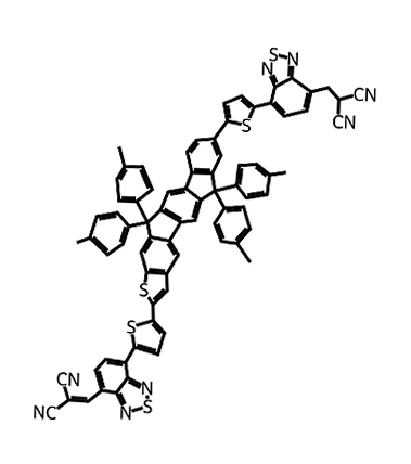 Cc1ccc(C2(c3ccc(C)cc3)c3cc(-c4ccc(-c5ccc(CC(C#N)C#N)c6nsnc56)s4)ccc3-c3cc4c(cc32)-c2cc3cc(-c5ccc(-c6ccc(C=C(C#N)C#N)c7nsnc67)s5)sc3cc2C4(c2ccc(C)cc2)c2ccc(C)cc2)cc1